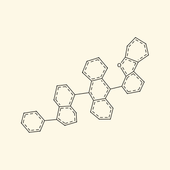 c1ccc(-c2cccc3c(-c4c5ccccc5c(-c5cccc6c5oc5ccccc56)c5ccccc45)cccc23)cc1